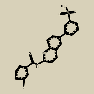 CS(=O)(=O)c1cccc(-c2ccc3nc(NC(=O)c4cccc(Cl)c4)ccc3c2)c1